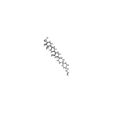 C=CCCC1CCC(C2CCC(c3ccc(-c4ccc(-c5ccc(OC)c(F)c5F)cc4)c(F)c3)CC2)CC1